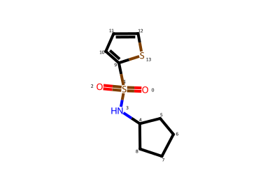 O=S(=O)(NC1CCCC1)c1cccs1